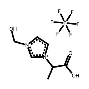 CC(C(=O)O)[n+]1ccn(CO)c1.F[P-](F)(F)(F)(F)F